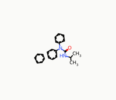 CC(C)NC(=O)N(c1ccccc1)c1ccccc1.c1ccccc1